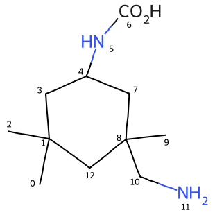 CC1(C)CC(NC(=O)O)CC(C)(CN)C1